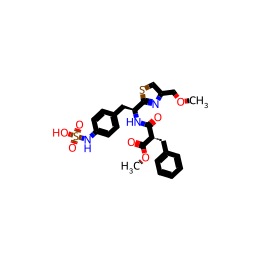 COCC1CSC([C@H](Cc2ccc(NS(=O)(=O)O)cc2)NC(=O)[C@H](Cc2ccccc2)C(=O)OC)=N1